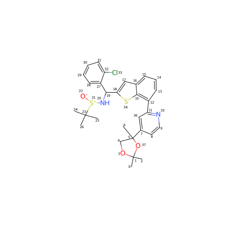 CC1(C)OCC(C)(c2ccnc(-c3cccc4cc(C(N[S+]([O-])C(C)(C)C)c5ccccc5Cl)sc34)c2)O1